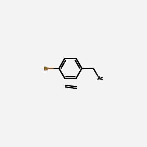 C=C.CC(=O)Cc1ccc(Br)cc1